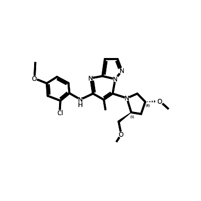 COC[C@@H]1C[C@@H](OC)CN1c1c(C)c(Nc2ccc(OC)cc2Cl)nc2ccnn12